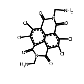 NCN1C(=O)c2c(Cl)c(Cl)c3c4c(c(Cl)c(Cl)c(c24)C1=O)C(=O)N(CN)C3=O